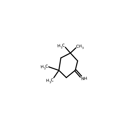 CC1(C)CC(=N)CC(C)(C)C1